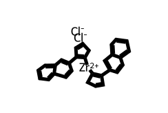 C1=CC(c2ccc3ccccc3c2)=[C]([Zr+2][C]2=C(c3ccc4ccccc4c3)C=CC2)C1.[Cl-].[Cl-]